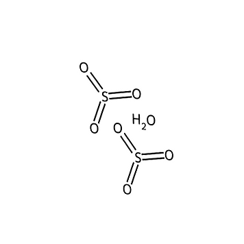 O.O=S(=O)=O.O=S(=O)=O